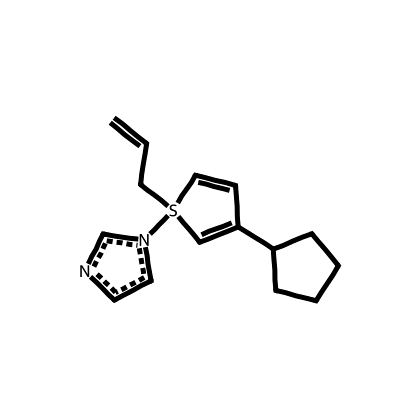 C=CCS1(n2ccnc2)C=CC(C2CCCC2)=C1